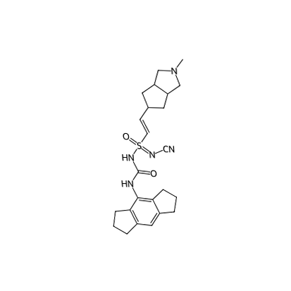 CN1CC2CC(/C=C/S(=O)(=NC#N)NC(=O)Nc3c4c(cc5c3CCC5)CCC4)CC2C1